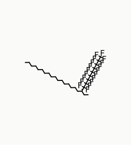 CCCCCCCCCCCCCCCCC[C](CC)C(F)(F)C(F)(F)C(F)(F)C(F)(F)C(F)(F)C(F)(F)C(F)(F)C(F)(F)C(F)(F)F